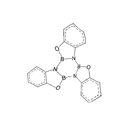 c1ccc2c(c1)OB1N2B2Oc3ccccc3N2B2Oc3ccccc3N12